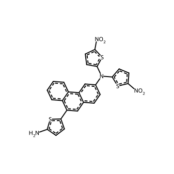 Nc1ccc(-c2cc3ccc(N(c4ccc([N+](=O)[O-])s4)c4ccc([N+](=O)[O-])s4)cc3c3ccccc23)s1